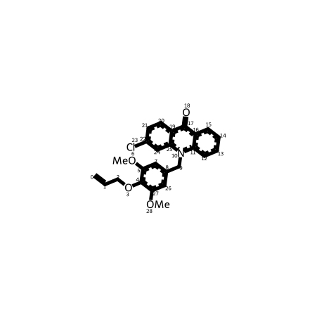 C=CCOc1c(OC)cc(Cn2c3ccccc3c(=O)c3ccc(Cl)cc32)cc1OC